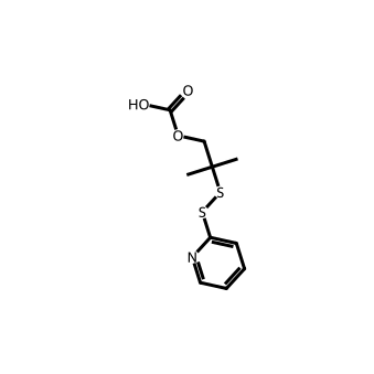 CC(C)(COC(=O)O)SSc1ccccn1